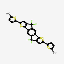 N#Cc1ccc(-c2cc3c(s2)-c2cc4c(cc2C3(F)F)-c2sc(-c3ccc(C#N)s3)cc2C4(F)F)s1